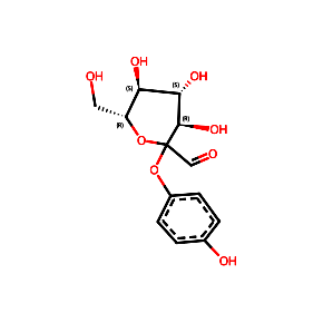 O=CC1(Oc2ccc(O)cc2)O[C@H](CO)[C@@H](O)[C@H](O)[C@H]1O